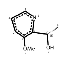 COc1cccnc1[C@H](C)O